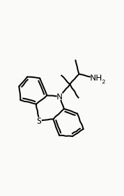 CC(N)C(C)(C)N1c2ccccc2Sc2ccccc21